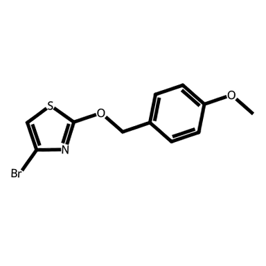 COc1ccc(COc2nc(Br)cs2)cc1